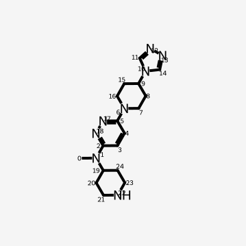 CN(c1ccc(N2CCC(n3cnnc3)CC2)nn1)C1CCNCC1